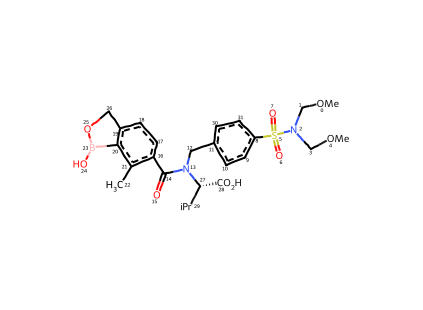 COCN(COC)S(=O)(=O)c1ccc(CN(C(=O)c2ccc3c(c2C)B(O)OC3)[C@H](C(=O)O)C(C)C)cc1